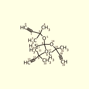 C#CC(C)(C)OC([SiH3])(OC(C)(C)C#C)OC(C)(C)C#C